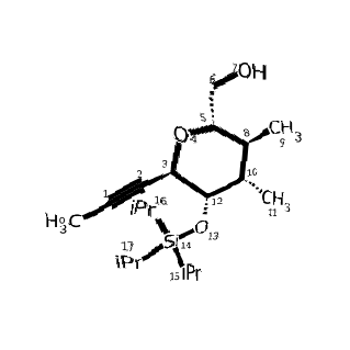 CC#C[C@H]1O[C@H](CO)[C@@H](C)[C@H](C)[C@@H]1O[Si](C(C)C)(C(C)C)C(C)C